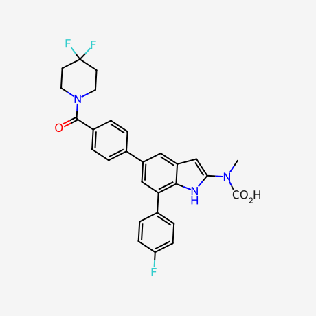 CN(C(=O)O)c1cc2cc(-c3ccc(C(=O)N4CCC(F)(F)CC4)cc3)cc(-c3ccc(F)cc3)c2[nH]1